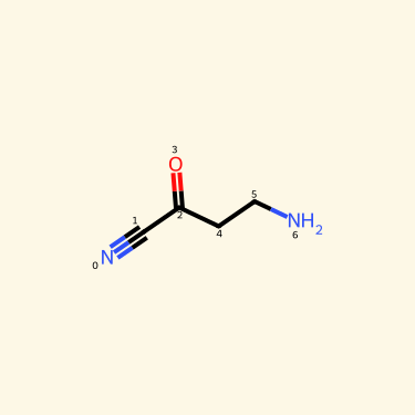 N#CC(=O)CCN